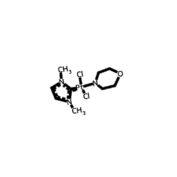 Cn1ccn(C)[c]1=[Pt]([Cl])([Cl])[N]1CCOCC1